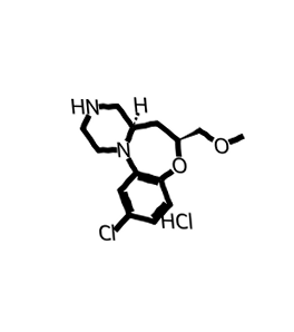 COC[C@@H]1C[C@@H]2CNCCN2c2cc(Cl)ccc2O1.Cl